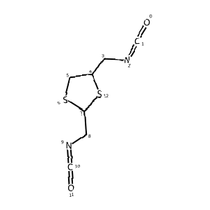 O=C=NCC1CSC(CN=C=O)S1